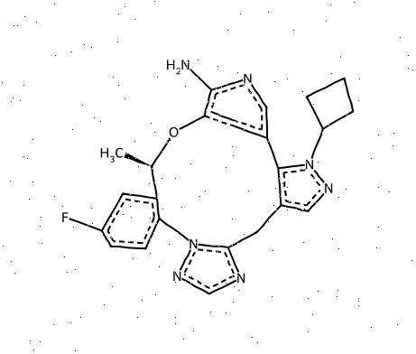 C[C@H]1Oc2cc(cnc2N)-c2c(cnn2C2CCC2)Cc2ncnn2-c2ccc(F)cc21